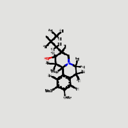 [2H]c1c(OC)c(OC)c([2H])c2c1C([2H])([2H])C([2H])([2H])N1CC([2H])(C([2H])([2H])C([2H])(C)C([2H])([2H])[2H])C([2H])(O)C([2H])([2H])C21[2H]